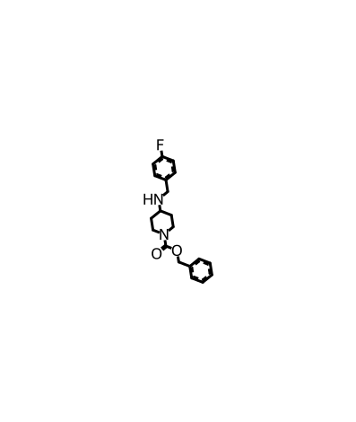 O=C(OCc1ccccc1)N1CCC(NCc2ccc(F)cc2)CC1